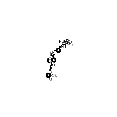 Cc1c(Cl)cccc1OCCCC(=O)N1CCCOc2c(-c3cnn(Cc4cccc(C(=O)NCC[N+](C)(C)C)c4)c3)cccc21